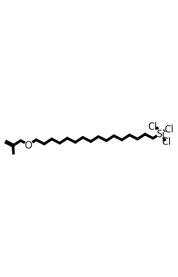 C=C(C)COCCCCCCCCCCCCCCCC[Si](Cl)(Cl)Cl